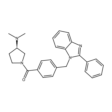 CN(C)[C@@H]1CCN(C(=O)c2ccc(Cn3c(-c4ccccc4)nc4ccccc43)cc2)C1